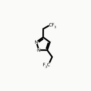 FC(F)(F)CC1=CC(CC(F)(F)F)=N[N]1